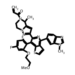 C=CC(=O)N1CCn2nc(-c3nc(-c4ccc5ncn(C)c5c4)c4ccsc4c3-c3c(F)cc(F)cc3OCCOC)cc2C1C